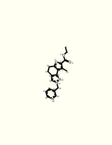 CCOC(=O)c1oc2c(c1C)-c1nn(Cc3cccnc3)cc1CC2